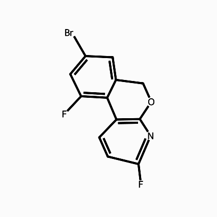 Fc1ccc2c(n1)OCc1cc(Br)cc(F)c1-2